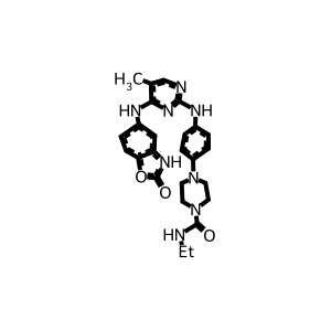 CCNC(=O)N1CCN(c2ccc(Nc3ncc(C)c(Nc4ccc5oc(=O)[nH]c5c4)n3)cc2)CC1